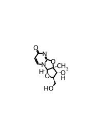 C[C@@]12Oc3nc(=O)ccn3[C@@H]1O[C@H](CO)[C@H]2O